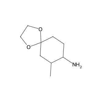 CC1CC2(CCC1N)OCCO2